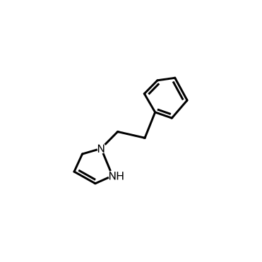 C1=CNN(CCc2ccccc2)C1